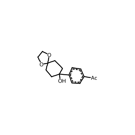 CC(=O)c1ccc(C2(O)CCC3(CC2)OCCO3)cc1